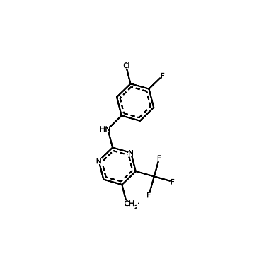 [CH2]c1cnc(Nc2ccc(F)c(Cl)c2)nc1C(F)(F)F